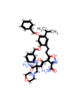 CC(C)c1cc(CCc2onc(C(N)=O)c2C2=CC(CN3CCOCC3)(C(N)=O)NO2)c(OCc2ccccc2)cc1OCc1ccccc1